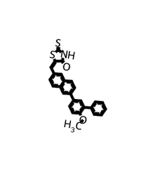 COc1ccc(-c2ccc3cc(C=C4SC(=S)NC4=O)ccc3c2)cc1-c1ccccc1